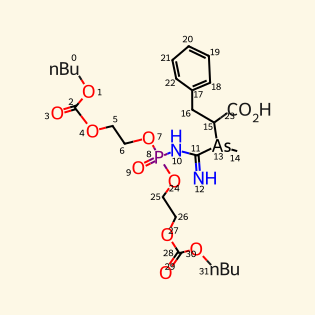 CCCCOC(=O)OCCOP(=O)(NC(=N)[As](C)C(Cc1ccccc1)C(=O)O)OCCOC(=O)OCCCC